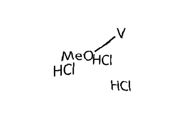 C[O][V].Cl.Cl.Cl